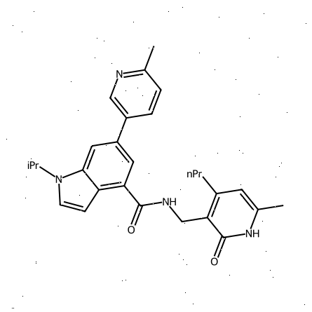 CCCc1cc(C)[nH]c(=O)c1CNC(=O)c1cc(-c2ccc(C)nc2)cc2c1ccn2C(C)C